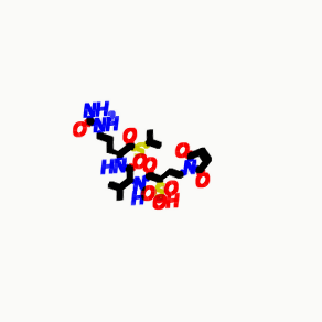 CC(C)SC(=O)[C@H](CCCNC(N)=O)NC(=O)[C@@H](NC(=O)[C@@H](CCN1C(=O)C=CC1=O)S(=O)(=O)O)C(C)C